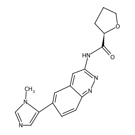 Cn1cncc1-c1ccc2nnc(NC(=O)[C@H]3CCCO3)cc2c1